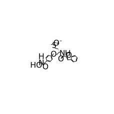 C[S+]([O-])CC[C@@H](COc1ccc(C(=O)NO)cc1)NC(=O)c1cc2ccccc2o1